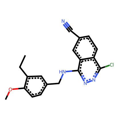 CCc1cc(CNc2nnc(Cl)c3ccc(C#N)cc23)ccc1OC